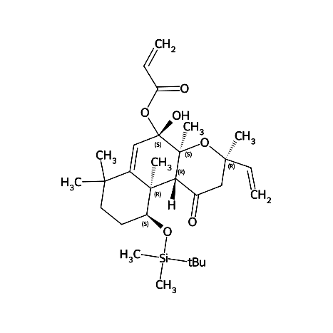 C=CC(=O)O[C@@]1(O)C=C2C(C)(C)CC[C@H](O[Si](C)(C)C(C)(C)C)[C@]2(C)[C@H]2C(=O)C[C@](C)(C=C)O[C@@]21C